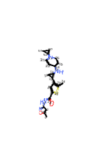 Cc1cc(NC(=O)c2cc(C3CC3NC3CCN(C4CC4)CC3)c(C)s2)no1